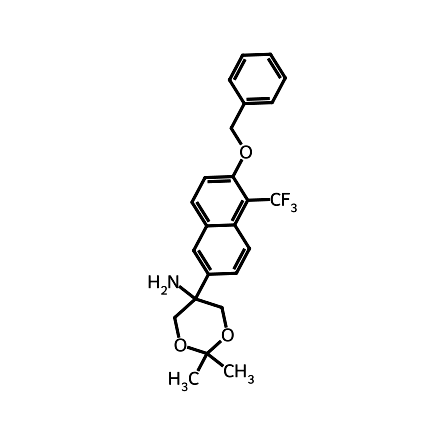 CC1(C)OCC(N)(c2ccc3c(C(F)(F)F)c(OCc4ccccc4)ccc3c2)CO1